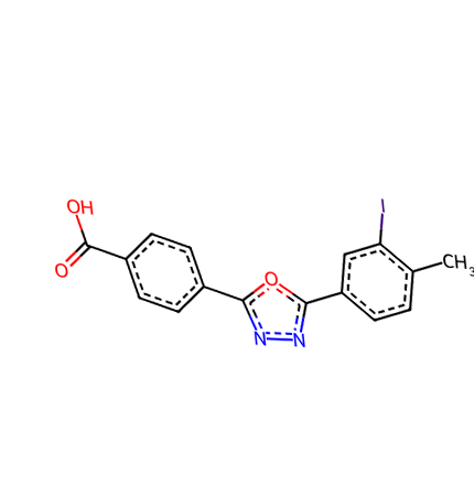 Cc1ccc(-c2nnc(-c3ccc(C(=O)O)cc3)o2)cc1I